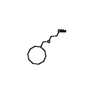 COCCOC[C]1CCCCCCCCC1